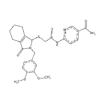 COc1ccc(CN2C(=O)C3=C(CCCC3)C2SCC(=O)Nc2ccc(C(N)=O)cn2)cc1OC